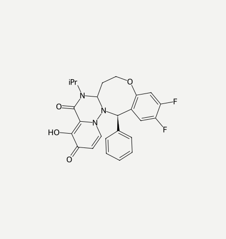 CC(C)N1C(=O)c2c(O)c(=O)ccn2N2C1CCOc1cc(F)c(F)cc1[C@H]2c1ccccc1